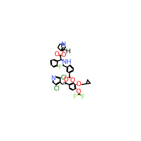 O=C(O[C@@H](Cc1c(Cl)cncc1Cl)c1ccc(OC(F)F)c(OCC2CC2)c1)c1cccc(CNC(C(=O)O[C@H]2CN3CCC2CC3)c2ccccc2F)c1